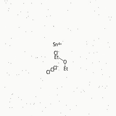 CCOCC.[Cl-].[Cl-].[Cl-].[Cl-].[Sn+4]